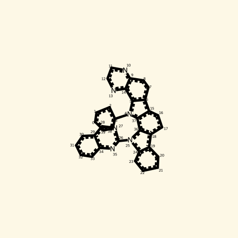 c1ccc(-n2c3c(ccc4nccnc43)c3ccc4c5ccccc5n(-c5ncc6ccccc6n5)c4c32)cc1